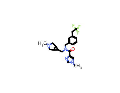 CN1CC2C(C1)C2CN(Cc1cccc(CC(F)(F)F)c1)C(=O)c1cn(C)cn1